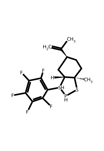 C=C(C)[C@H]1CC[C@@]2(C)SP[SH](c3c(F)c(F)c(F)c(F)c3F)[C@@H]2C1